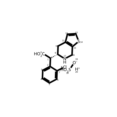 O=C(O)C(c1ccccc1Cl)[C@@H]1Cc2ccsc2CN1.O=S(=O)([O-])O.[H+]